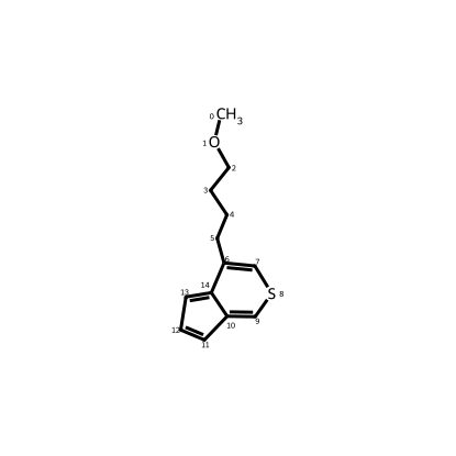 COCCCCc1cscc2cccc1-2